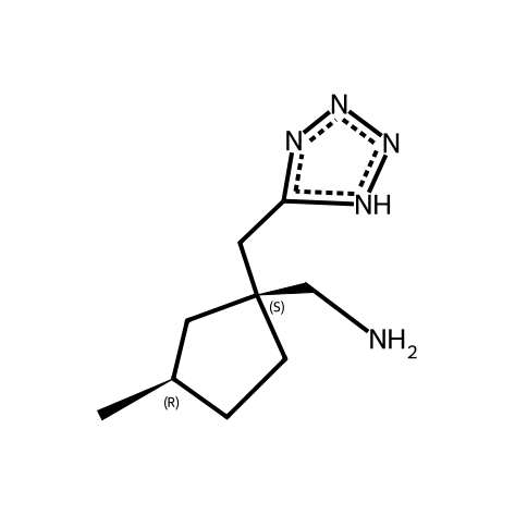 C[C@@H]1CC[C@@](CN)(Cc2nnn[nH]2)C1